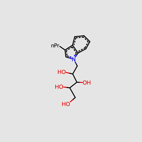 CCCc1cn(CC(O)C(O)C(O)CO)c2ccccc12